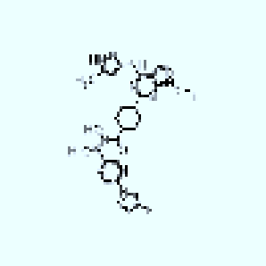 Cc1cc(Nc2nc([C@H]3CC[C@H](C(=O)N(O)[C@@H](C)c4ccc(-n5cc(F)cn5)nc4)CC3)nc3c2cnn3C)n[nH]1